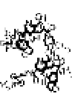 Cc1nc(C(=O)N2CCOC(C)C2)cc2c(Nc3cccc4c3CCO4)c(C(N)=O)cnc12.Cc1nc(C(N)=O)cc2c(Nc3cccc4c3CCO4)c(C(=O)NCCS(N)(=O)=O)cnc12.O=C(O)C(F)(F)F